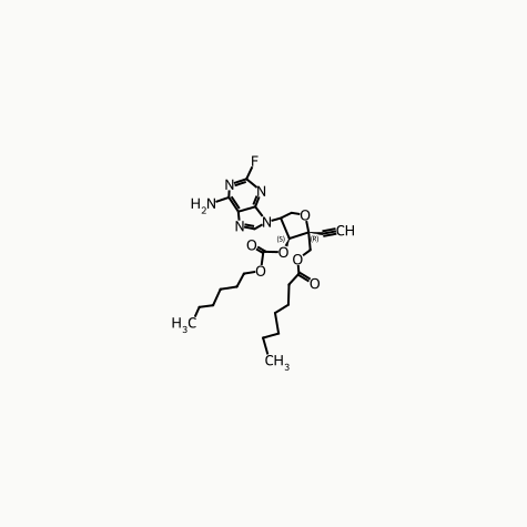 C#C[C@]1(COC(=O)CCCCCC)OCC(n2cnc3c(N)nc(F)nc32)[C@@H]1OC(=O)OCCCCCC